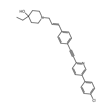 CCC1(O)CCN(CC=Cc2ccc(C#Cc3ccc(-c4ccc(Cl)cc4)cn3)cc2)CC1